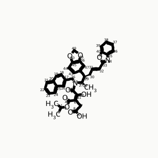 CC(C)OC(=O)C(CC(=O)O)=C(O)C(=O)N(Cc1ccc2ccccc2c1)[C@H](C)[C@H](CC=Cc1nc2ccccc2o1)c1ccc2c(c1)OCO2